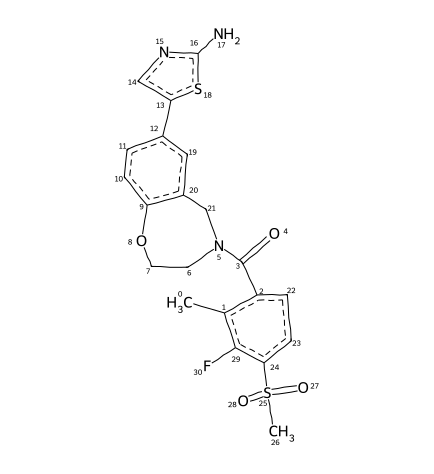 Cc1c(C(=O)N2CCOc3ccc(-c4cnc(N)s4)cc3C2)ccc(S(C)(=O)=O)c1F